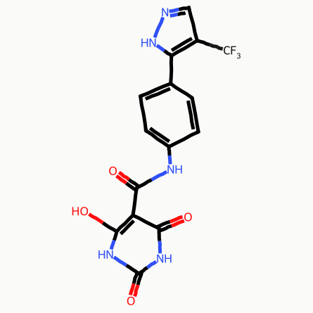 O=C(Nc1ccc(-c2[nH]ncc2C(F)(F)F)cc1)c1c(O)[nH]c(=O)[nH]c1=O